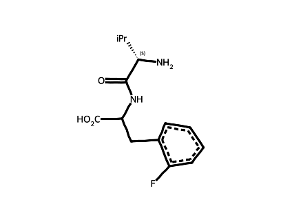 CC(C)[C@H](N)C(=O)NC(Cc1ccccc1F)C(=O)O